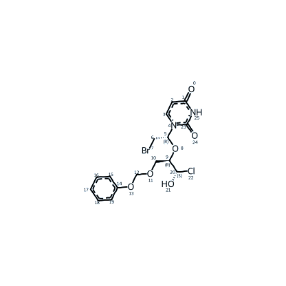 O=c1ccn([C@@H](CBr)O[C@H](COCOc2ccccc2)[C@@H](O)Cl)c(=O)[nH]1